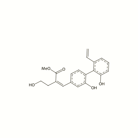 C=Cc1cccc(O)c1-c1ccc(C=C(CCO)C(=O)OC)cc1O